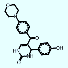 O=C1NC=C(C(=O)c2ccc(N3CCOCC3)cc2)C(c2ccc(O)cc2)N1